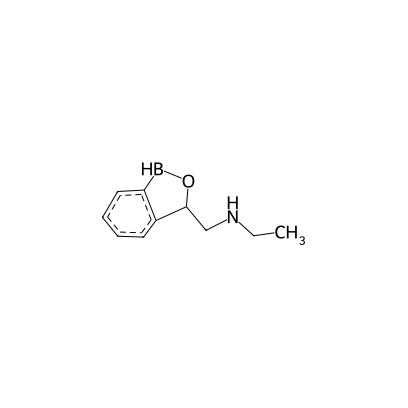 CCNCC1OBc2ccccc21